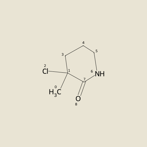 CC1(Cl)CCCNC1=O